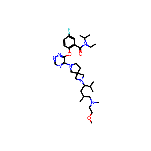 CCN(C(=O)c1cc(F)ccc1Oc1nncnc1N1CCC2(C1)CN(C(CC(C)CN(C)CCOC)C(C)C)C2)C(C)C